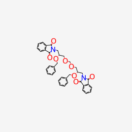 O=C1c2ccccc2C(=O)N1CC(COCOCC(CN1C(=O)c2ccccc2C1=O)OCc1ccccc1)OCc1ccccc1